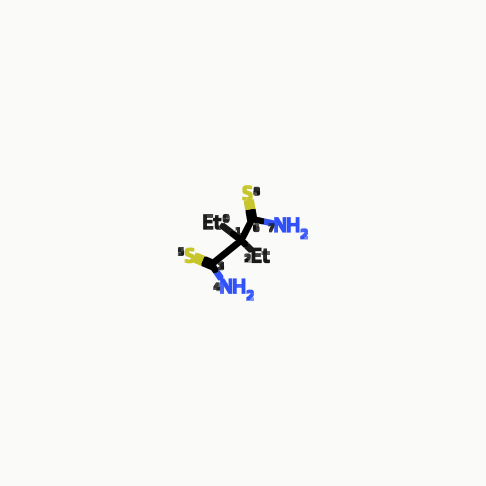 CCC(CC)(C(N)=S)C(N)=S